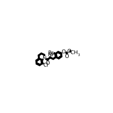 COC(=O)Oc1ccc(CC(N)C(=O)N2CCCc3cccc(Cl)c32)c(Br)c1